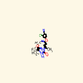 C=N/C(=C\C=C(/C)N1C(=O)NC(C)(C)C1=O)Oc1ccc(C#N)c(Cl)c1